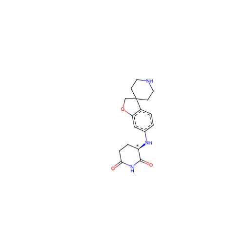 O=C1CC[C@@H](Nc2ccc3c(c2)OCC32CCNCC2)C(=O)N1